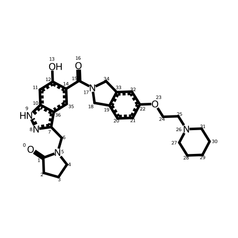 O=C1CCCN1Cc1n[nH]c2cc(O)c(C(=O)N3Cc4ccc(OCCN5CCCCC5)cc4C3)cc12